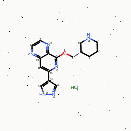 Cl.c1cnc2c(OC[C@H]3CCCNC3)nc(-c3cn[nH]c3)cc2n1